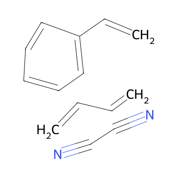 C=CC=C.C=Cc1ccccc1.N#CC#N